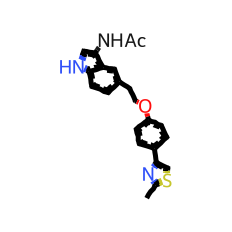 CC(=O)Nc1c[nH]c2ccc(CCOc3ccc(-c4csc(C)n4)cc3)cc12